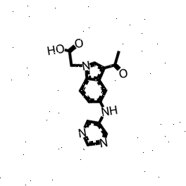 CC(=O)c1cn(CC(=O)O)c2ccc(Nc3cncnc3)cc12